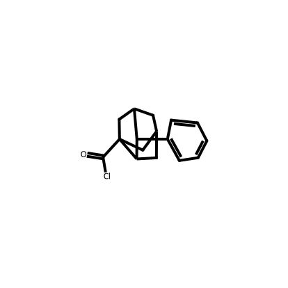 O=C(Cl)C12CC3CC(C1)C(c1ccccc1)C2C3